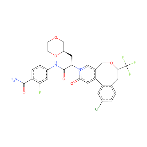 NC(=O)c1ccc(NC(=O)[C@H](C[C@@H]2COCCO2)n2cc3c(cc2=O)-c2cc(Cl)ccc2CC(C(F)(F)F)OC3)cc1F